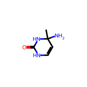 CC1(N)C=CNC(=O)N1